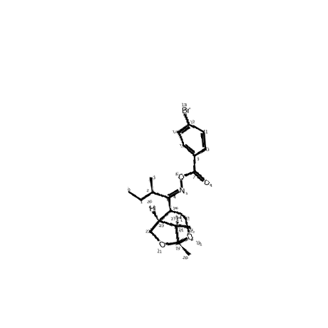 CC[C@@H](C)/C(=N\OC(=O)c1ccc(Br)cc1)[C@H]1CO[C@]2(C)OC[C@H]1[C@H]2C